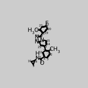 Cc1ccc(C(=O)NC2CC2)cc1-c1ccn2c(-c3ccc(F)cc3C)nnc2c1